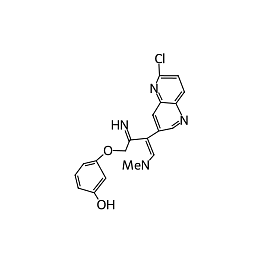 CN/C=C(\C(=N)COc1cccc(O)c1)c1cnc2ccc(Cl)nc2c1